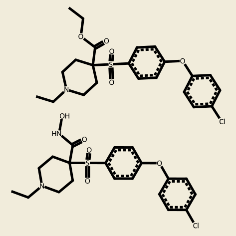 CCN1CCC(C(=O)NO)(S(=O)(=O)c2ccc(Oc3ccc(Cl)cc3)cc2)CC1.CCOC(=O)C1(S(=O)(=O)c2ccc(Oc3ccc(Cl)cc3)cc2)CCN(CC)CC1